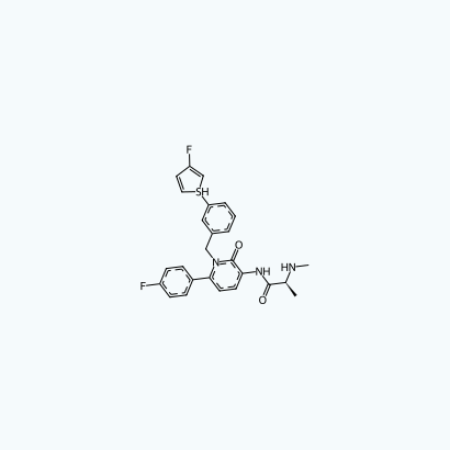 CN[C@@H](C)C(=O)Nc1ccc(-c2ccc(F)cc2)n(Cc2cccc([SH]3C=CC(F)=C3)c2)c1=O